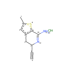 C#CC1Cc2cc(C)sc2C(N)=N1.Cl